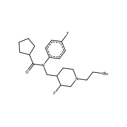 CC(C)(C)CCN1CCC(CN(C(=O)C2CCCC2)c2ccc(F)cc2)C(F)C1